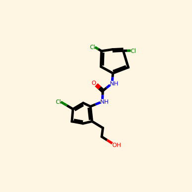 O=C(Nc1cc(Cl)cc(Cl)c1)Nc1cc(Cl)ccc1CCO